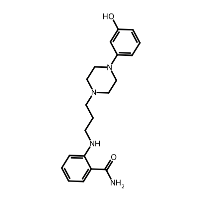 NC(=O)c1ccccc1NCCCN1CCN(c2cccc(O)c2)CC1